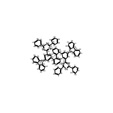 c1ccc(-c2nc(-c3ccccc3)nc(-c3cc(-c4ccccc4-c4ccccc4-c4cc(-c5nc(-c6ccccc6)nc(-c6ccccc6)n5)cc(-n5c6ccccc6c6ccccc65)c4)cc(-n4c5ccccc5c5ccccc54)c3)n2)cc1